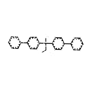 C[C@H](O)C(O)(c1ccc(-c2ccccc2)cc1)c1ccc(-c2ccccc2)cc1